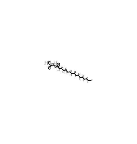 CCCCCCCCCCCCCCCCC(=O)NCC(=O)O